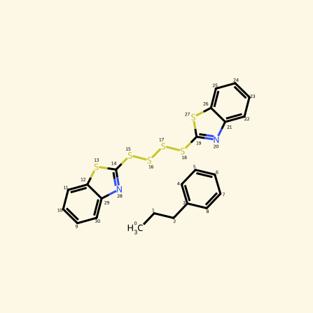 CCCc1ccccc1.c1ccc2sc(SSSSc3nc4ccccc4s3)nc2c1